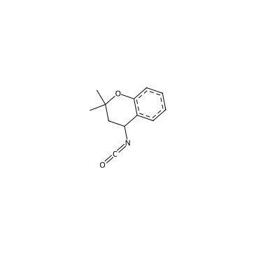 CC1(C)CC(N=C=O)c2ccccc2O1